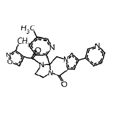 Cc1ccc(C23Cn4cc(-c5cccnc5)cc4C(=O)N2CCN3C(=O)c2conc2C)nc1